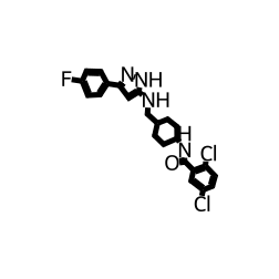 O=C(NC1CCC(CNc2cc(-c3ccc(F)cc3)n[nH]2)CC1)c1cc(Cl)ccc1Cl